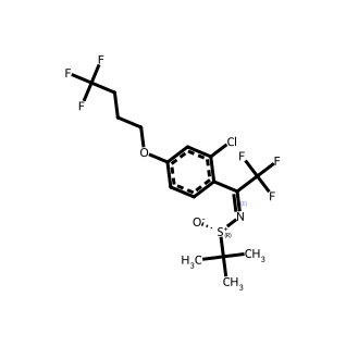 CC(C)(C)[S@+]([O-])/N=C(\c1ccc(OCCCC(F)(F)F)cc1Cl)C(F)(F)F